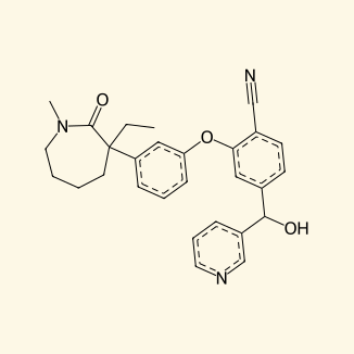 CCC1(c2cccc(Oc3cc(C(O)c4cccnc4)ccc3C#N)c2)CCCCN(C)C1=O